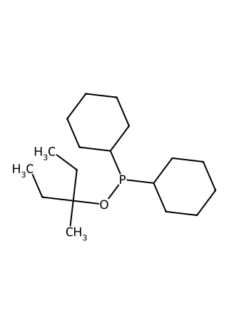 CCC(C)(CC)OP(C1CCCCC1)C1CCCCC1